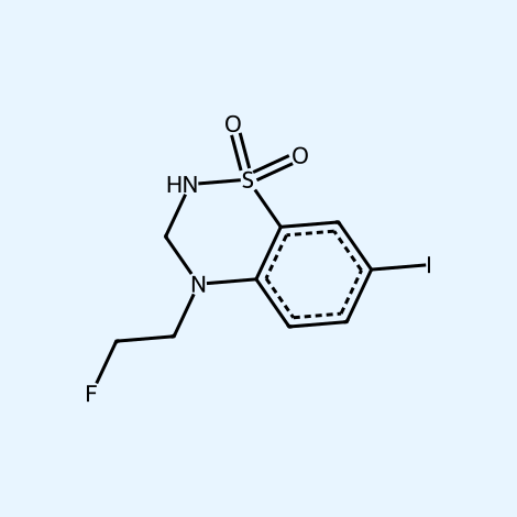 O=S1(=O)NCN(CCF)c2ccc(I)cc21